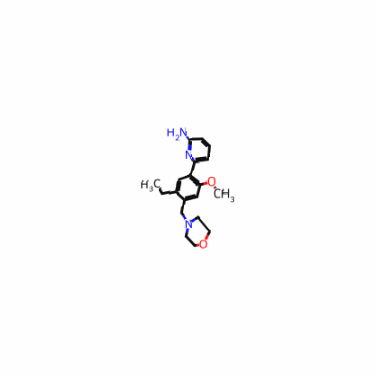 CCc1cc(-c2cccc(N)n2)c(OC)cc1CN1CCOCC1